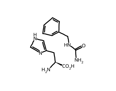 NC(=O)NCc1ccccc1.N[C@@H](Cc1c[nH]cn1)C(=O)O